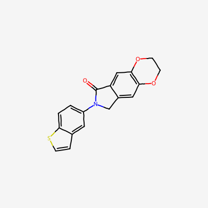 O=C1c2cc3c(cc2CN1c1ccc2sccc2c1)OCCO3